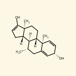 C[C@H]1CC2=C[C@@H](O)C=C[C@]2(C)[C@H]2CC[C@]3(C)C(O)=CC[C@H]3[C@H]12